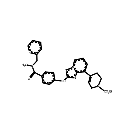 CCOC(=O)N1CC=C(c2cccn3nc(Nc4ccc(C(=O)N(C)Cc5ccccn5)cc4)nc23)CC1